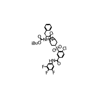 CC(C)COC(=O)N[C@@H](Cc1ccccc1)C(=O)N1C2C[C@@H](S(=O)(=O)c3cc(C(=O)Nc4cc(F)c(F)c(F)c4)ccc3Cl)CC1[C@@H](C)C2